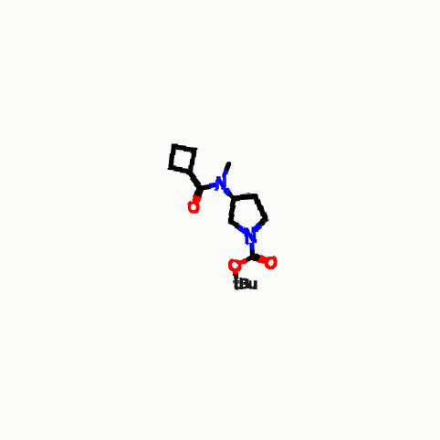 CN(C(=O)C1CCC1)[C@H]1CCN(C(=O)OC(C)(C)C)C1